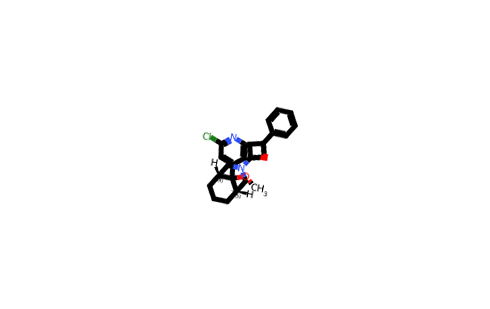 COC1(c2ccnc(Cl)c2)[C@@H]2CCC[C@H]1CN(C13CC(c4ccccc4)(C1)C3)C2